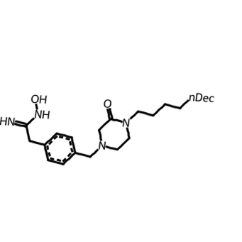 CCCCCCCCCCCCCCN1CCN(Cc2ccc(CC(=N)NO)cc2)CC1=O